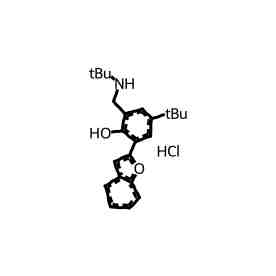 CC(C)(C)NCc1cc(C(C)(C)C)cc(-c2cc3ccccc3o2)c1O.Cl